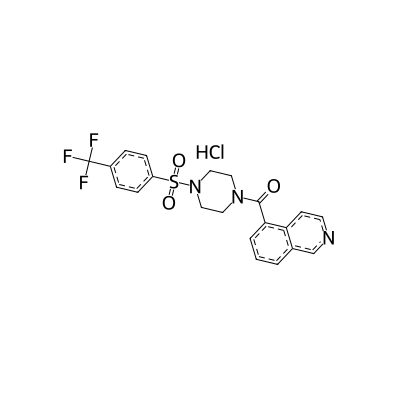 Cl.O=C(c1cccc2cnccc12)N1CCN(S(=O)(=O)c2ccc(C(F)(F)F)cc2)CC1